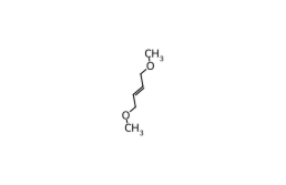 COCC=CCOC